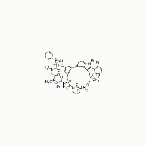 CCc1ccncc1-c1c2c3cc(ccc3n1CC)-c1cc(O)cc(c1)C[C@H](NC(=O)[C@H](C(C)C)N(C)C(=O)CN(C)C(=O)[C@@H]1N[C@H]1c1ccccc1)C(=O)N1CCC[C@H](N1)C(=O)OCC(C)(C)C2